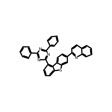 c1ccc(-c2nc(-c3ccccc3)nc(-c3cccc4sc5cc(-c6ccc7ccccc7n6)ccc5c34)n2)cc1